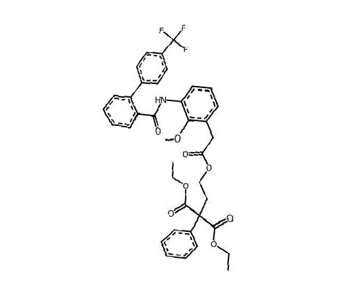 CCOC(=O)C(CCOC(=O)Cc1cccc(NC(=O)c2ccccc2-c2ccc(C(F)(F)F)cc2)c1OC)(C(=O)OCC)c1ccccc1